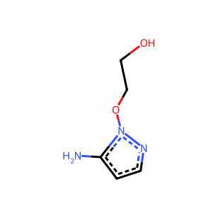 Nc1ccnn1OCCO